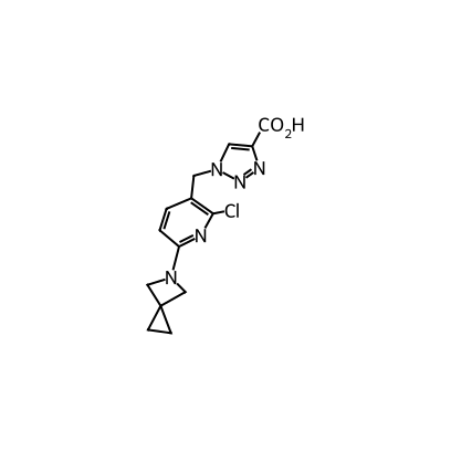 O=C(O)c1cn(Cc2ccc(N3CC4(CC4)C3)nc2Cl)nn1